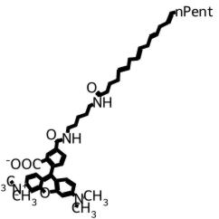 CCCCCC=CCC=CCC=CCC=CCCCC(=O)NCCCCCNC(=O)c1ccc(-c2c3ccc(=[N+](C)C)cc-3oc3cc(N(C)C)ccc23)c(C(=O)[O-])c1